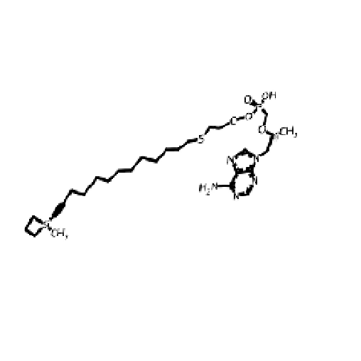 C[C@H](Cn1cnc2c(N)ncnc21)OCP(=O)(O)OCCCSCCCCCCCCCCCC#C[Si]1(C)CCC1